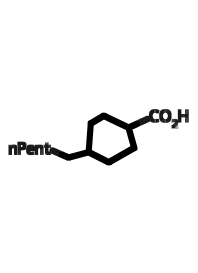 CCCCCCC1CCC(C(=O)O)CC1